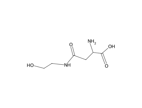 NC(CC(=O)NCCO)C(=O)O